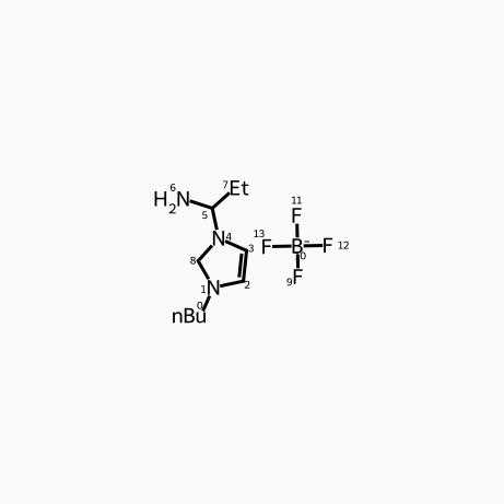 CCCCN1C=CN(C(N)CC)C1.F[B-](F)(F)F